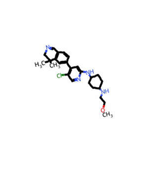 COCCNC1CCC(Nc2cc(-c3ccc4c(c3)C(C)(C)CN=C4)c(Cl)cn2)CC1